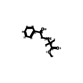 COC(=O)C(C)(C)NCC(=O)c1ccccc1